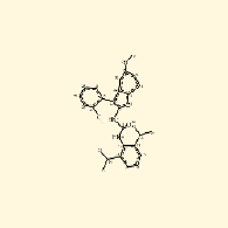 COc1ccc2oc(NC(=O)Nc3c(C(C)C)cccc3C(C)C)c(-c3ccccc3Cl)c2c1